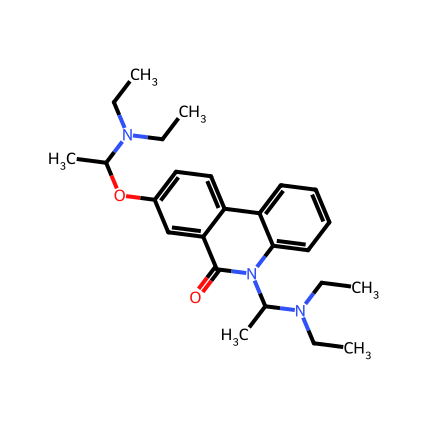 CCN(CC)C(C)Oc1ccc2c(c1)c(=O)n(C(C)N(CC)CC)c1ccccc21